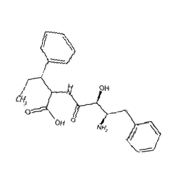 CCC(c1ccccc1)C(NC(=O)[C@@H](O)[C@H](N)Cc1ccccc1)C(=O)O